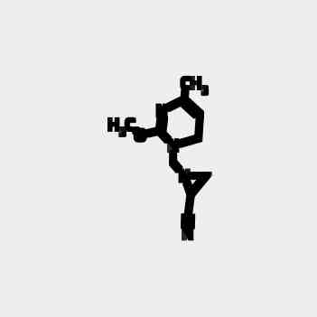 COC1=NC(C)=CCN1CN1CC1C#N